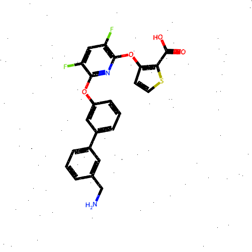 NCc1cccc(-c2cccc(Oc3nc(Oc4ccsc4C(=O)O)c(F)cc3F)c2)c1